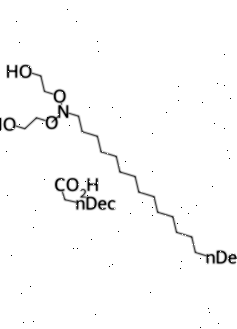 CCCCCCCCCCCC(=O)O.CCCCCCCCCCCCCCCCCCCCCCCCN(OCCO)OCCO